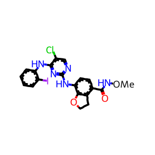 CONC(=O)c1ccc(Nc2ncc(Cl)c(Nc3ccccc3I)n2)c2c1CCO2